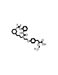 CCOC(Cc1ccc(OCCN(CCCC2CCCCC2)C(=O)Nc2ccccc2OC(F)(F)F)cc1)C(=O)O